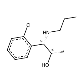 CCCN[C@@H](c1ccccc1Cl)[C@H](C)O